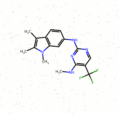 CNc1nc(Nc2ccc3c(C)c(C)n(C)c3c2)ncc1C(F)(F)F